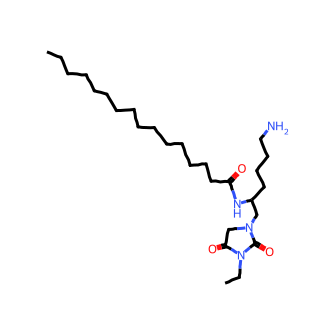 CCCCCCCCCCCCCCCC(=O)NC(CCCCN)CN1CC(=O)N(CC)C1=O